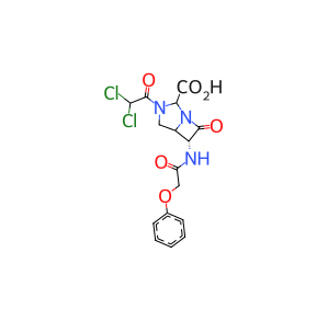 O=C(COc1ccccc1)N[C@H]1C(=O)N2C1CN(C(=O)C(Cl)Cl)C2C(=O)O